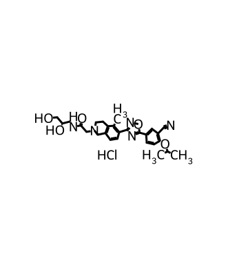 Cc1c(-c2noc(-c3ccc(OC(C)C)c(C#N)c3)n2)ccc2c1CCN(CC(=O)NC[C@H](O)CO)C2.Cl